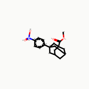 COC(=O)C12CC3CC(C1)CC(c1ccc([N+](=O)[O-])cc1)(C3)C2